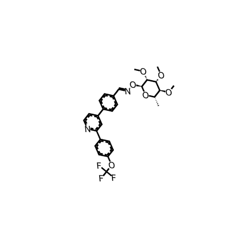 CO[C@@H]1[C@@H](OC)[C@H](C)O[C@@H](O/N=C/c2ccc(-c3ccnc(-c4ccc(OC(F)(F)F)cc4)c3)cc2)[C@@H]1OC